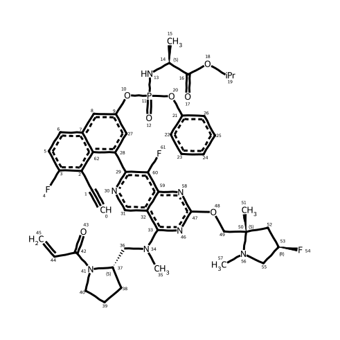 C#Cc1c(F)ccc2cc(OP(=O)(N[C@@H](C)C(=O)OC(C)C)Oc3ccccc3)cc(-c3ncc4c(N(C)C[C@@H]5CCCN5C(=O)C=C)nc(OC[C@]5(C)C[C@@H](F)CN5C)nc4c3F)c12